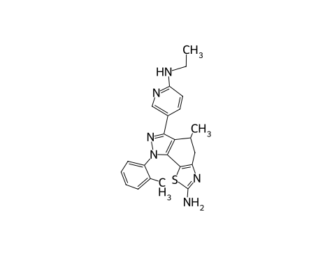 CCNc1ccc(-c2nn(-c3ccccc3C)c3c2C(C)Cc2nc(N)sc2-3)cn1